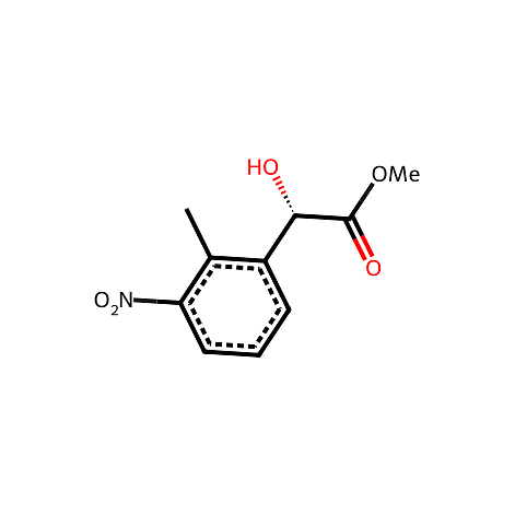 COC(=O)[C@@H](O)c1cccc([N+](=O)[O-])c1C